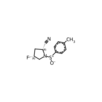 Cc1ccc([S+]([O-])N2C[C@H](F)C[C@@H]2C#N)cc1